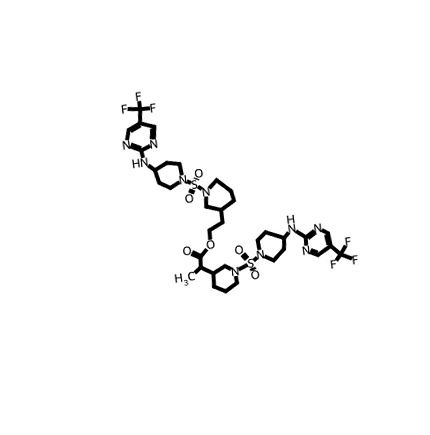 CC(C(=O)OCCC1CCCN(S(=O)(=O)N2CCC(Nc3ncc(C(F)(F)F)cn3)CC2)C1)C1CCCN(S(=O)(=O)N2CCC(Nc3ncc(C(F)(F)F)cn3)CC2)C1